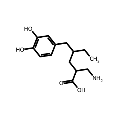 CCC(Cc1ccc(O)c(O)c1)CC(CN)C(=O)O